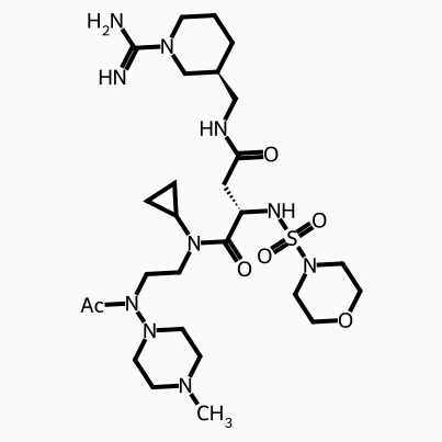 CC(=O)N(CCN(C(=O)[C@H](CC(=O)NC[C@@H]1CCCN(C(=N)N)C1)NS(=O)(=O)N1CCOCC1)C1CC1)N1CCN(C)CC1